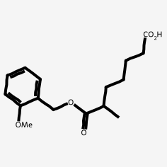 COc1ccccc1COC(=O)C(C)CCCCC(=O)O